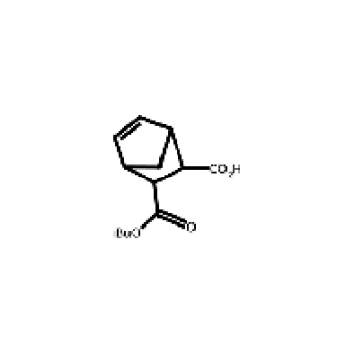 CC(C)COC(=O)C1C2C=CC(C2)C1C(=O)O